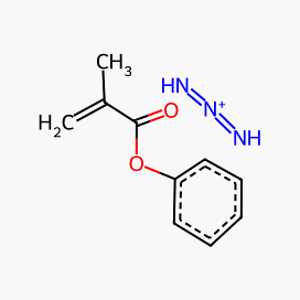 C=C(C)C(=O)Oc1ccccc1.N=[N+]=N